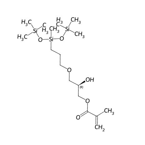 C=C(C)C(=O)OC[C@H](O)COCCC[Si](C)(O[Si](C)(C)C)O[Si](C)(C)C